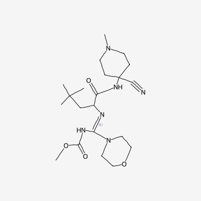 COC(=O)N/C(=N\C(CC(C)(C)C)C(=O)NC1(C#N)CCN(C)CC1)N1CCOCC1